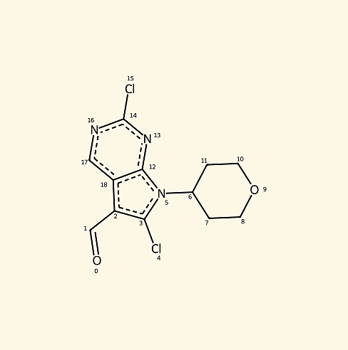 O=Cc1c(Cl)n(C2CCOCC2)c2nc(Cl)ncc12